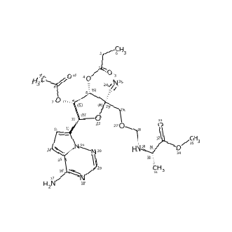 CCC(=O)O[C@H]1[C@@H](OC(C)=O)[C@H](c2ccc3c(N)ncnn23)O[C@]1(C#N)COCN[C@@H](C)C(=O)OC